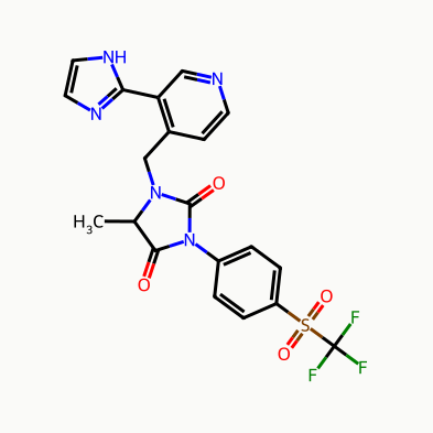 CC1C(=O)N(c2ccc(S(=O)(=O)C(F)(F)F)cc2)C(=O)N1Cc1ccncc1-c1ncc[nH]1